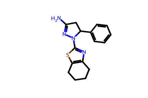 NC1=NN(c2nc3c(s2)CCCC3)C(c2ccccc2)C1